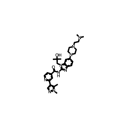 Cc1c(-c2cc(C(=O)Nc3nc4ccc(N5CCN(CCN(C)C)CC5)cc4n3CC(C)(C)O)ccn2)cnn1C